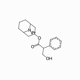 CC(C)N1C2CCCC1CC(OC(=O)C(CO)c1ccccc1)C2